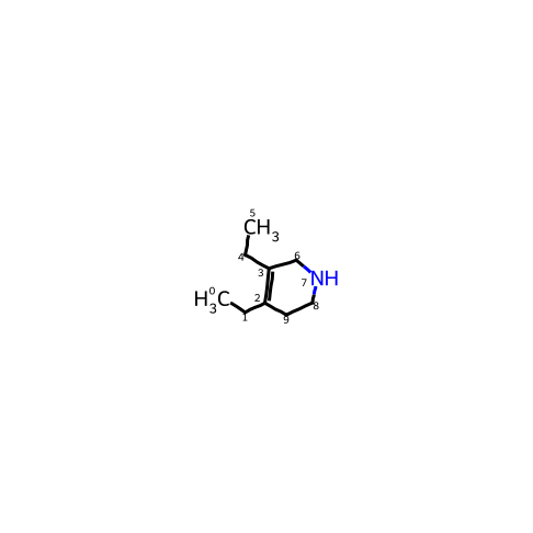 CCC1=C(CC)CNCC1